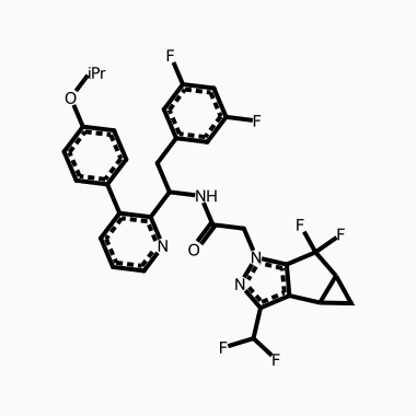 CC(C)Oc1ccc(-c2cccnc2C(Cc2cc(F)cc(F)c2)NC(=O)Cn2nc(C(F)F)c3c2C(F)(F)C2CC32)cc1